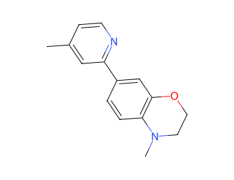 Cc1ccnc(-c2ccc3c(c2)OCCN3C)c1